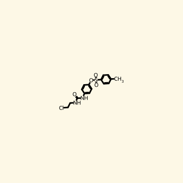 Cc1ccc(S(=O)(=O)Oc2ccc(NC(=O)NCCCl)cc2)cc1